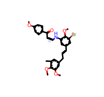 COc1ccc(C(=O)/C=C\Nc2cc(C=CCc3cc(C)c(OC)c(OC)c3)cc(Br)c2OC)cc1